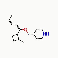 C/C=C\C=C(\OCC1CCNCC1)C1CCC1C